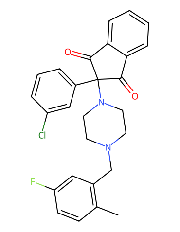 Cc1ccc(F)cc1CN1CCN(C2(c3cccc(Cl)c3)C(=O)c3ccccc3C2=O)CC1